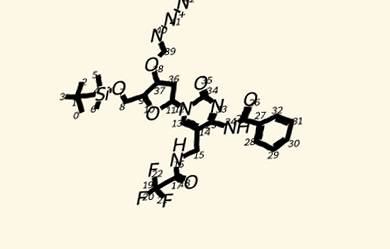 CC(C)(C)[Si](C)(C)OCC1OC(n2cc(CNC(=O)C(F)(F)F)c(NC(=O)c3ccccc3)nc2=O)CC1OCN=[N+]=[N-]